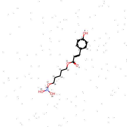 O=C(/C=C/c1ccc(O)cc1)OCCCCCON(O)O